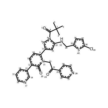 CC(C)(C)C(=O)n1nc(-c2ccc(-c3cccnc3)c(=O)n2CC(=O)c2ccncc2)cc1NCc1ccc(Cl)s1